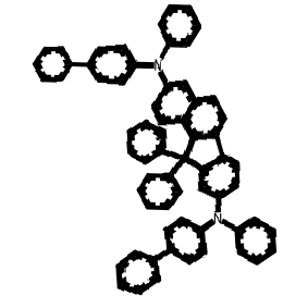 c1ccc(-c2ccc(N(c3ccccc3)c3ccc4c(c3)C(c3ccccc3)(c3ccccc3)c3c-4ccc4cc(N(c5ccccc5)c5ccc(-c6ccccc6)cc5)ccc34)cc2)cc1